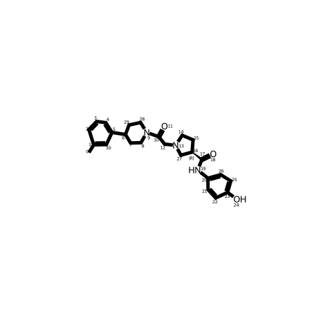 Cc1cccc(C2CCN(C(=O)CN3CC[C@@H](C(=O)Nc4ccc(O)cc4)C3)CC2)c1